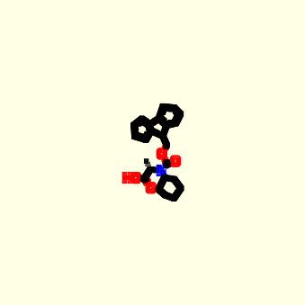 C[C@@H](C(=O)O)N(C(=O)OCC1c2ccccc2-c2ccccc21)C1CCCCC1